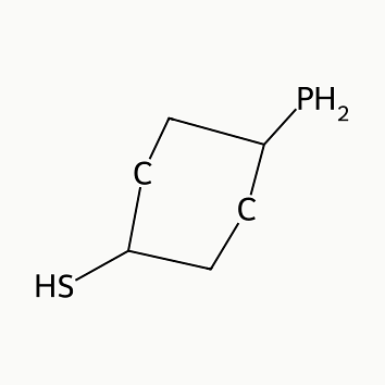 PC1CCC(S)CC1